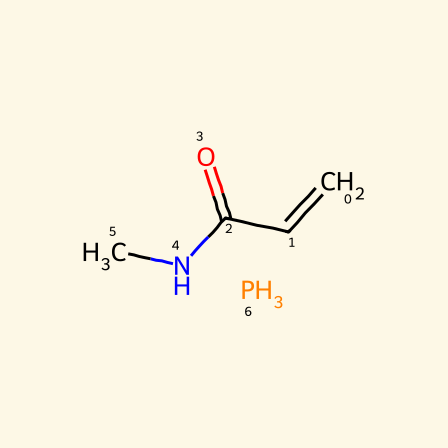 C=CC(=O)NC.P